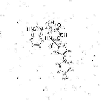 C[C@@H](c1c[nH]c2ccccc12)[C@@H](NS(=O)(=O)c1ccc(-c2ccc(F)cc2)s1)C(=O)O